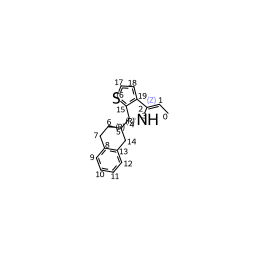 C/C=C1\N[C@H]([C@@H]2CCc3ccccc3C2)c2sccc21